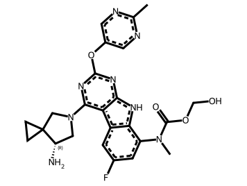 Cc1ncc(Oc2nc(N3C[C@H](N)C4(CC4)C3)c3c(n2)[nH]c2c(N(C)C(=O)OCO)cc(F)cc23)cn1